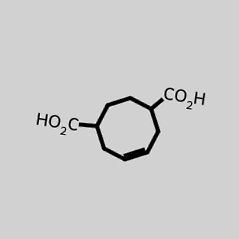 O=C(O)C1C/C=C\CC(C(=O)O)CC1